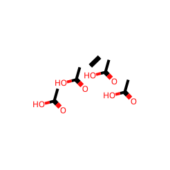 C=C.CC(=O)O.CC(=O)O.CC(=O)O.CC(=O)O